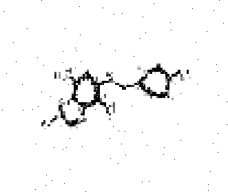 CCN(C)/C=N\c1cc(C)cc(NCc2cnc(C)cn2)c1Cl